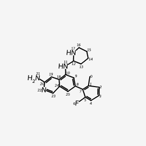 Cc1cccc(F)c1-c1cc(NC2CCCCN2)c2cc(N)ncc2c1